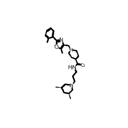 Cc1ccccc1-c1nc(CN2CCC(C(=O)NCCCN3C[C@H](C)C[C@H](C)C3)CC2)c(C)o1